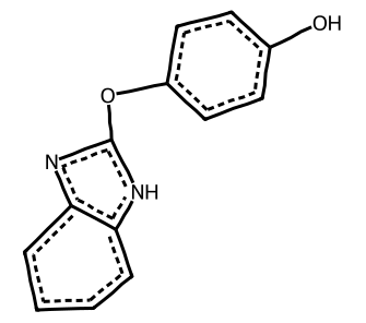 Oc1ccc(Oc2nc3ccccc3[nH]2)cc1